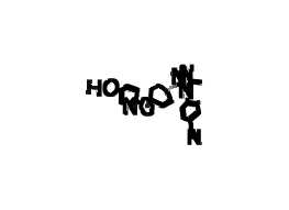 Cc1nnc([C@H]2CC[C@H](Oc3ccc(O)cn3)CC2)n1-c1ccc(C#N)cc1